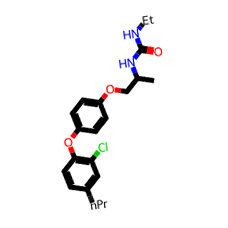 CCCc1ccc(Oc2ccc(OCC(C)NC(=O)NCC)cc2)c(Cl)c1